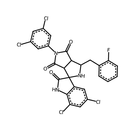 O=C1C2C(Cc3ccccc3F)NC3(C(=O)Nc4c(Cl)cc(Cl)cc43)C2C(=O)N1c1cc(Cl)cc(Cl)c1